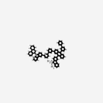 CC1(C)c2ccccc2-c2cc(-c3c4ccccc4c(-c4cccc(-c5ccccc5)c4)c4ccc(-c5cccc(-c6cccc(-c7ccc8c(c7)c7cccnc7n8C7CC8=C(CCC=C8)C8=C7C=CCC8)n6)c5)cc34)ccc21